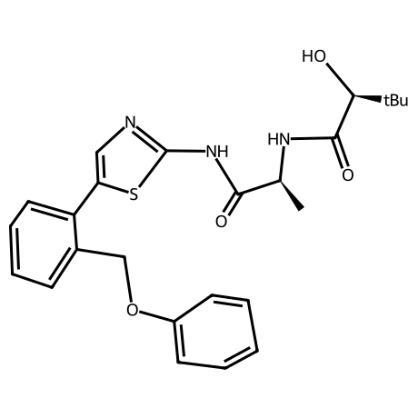 C[C@H](NC(=O)[C@@H](O)C(C)(C)C)C(=O)Nc1ncc(-c2ccccc2COc2ccccc2)s1